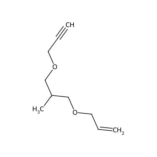 C#CCOC[C](C)COCC=C